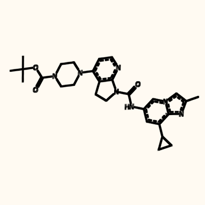 Cc1cn2cc(NC(=O)N3CCc4c(N5CCN(C(=O)OC(C)(C)C)CC5)ccnc43)cc(C3CC3)c2n1